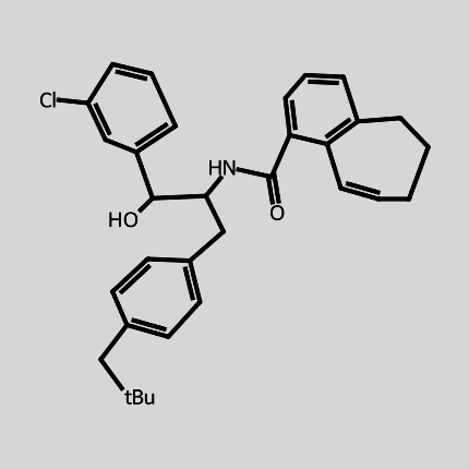 CC(C)(C)Cc1ccc(CC(NC(=O)c2cccc3c2C=CCCC3)C(O)c2cccc(Cl)c2)cc1